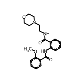 COc1ccccc1C(=O)Nc1ccccc1C(=O)NCCN1CCOCC1